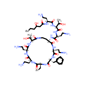 CCC(C)CCC(O)CC(=O)N[C@@H](CCN)C(=O)N[C@H](C(=O)N[C@@H](CCN)C(=O)N[C@H]1CCNC(=O)[C@H]([C@@H](C)O)NC(=O)[C@H](CCN)NC(=O)[C@H](CCN)NC(=O)[C@H](CC(C)C)NC(=O)[C@@H](Cc2ccccc2)NC(=O)[C@H](CCN)NC1=O)[C@@H](C)O